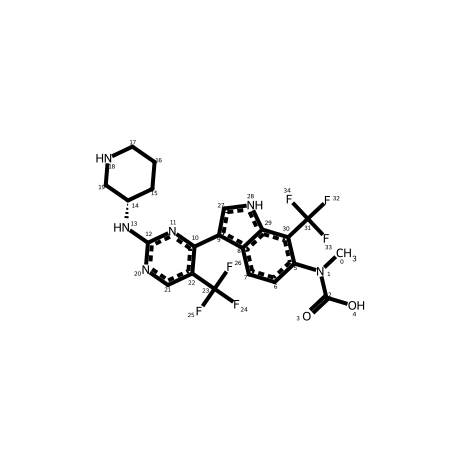 CN(C(=O)O)c1ccc2c(-c3nc(N[C@H]4CCCNC4)ncc3C(F)(F)F)c[nH]c2c1C(F)(F)F